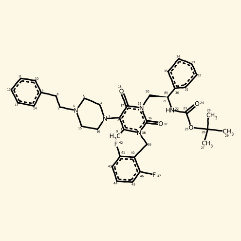 Cc1c(N2CCN(CCc3ccccc3)CC2)c(=O)n(C[C@H](NC(=O)OC(C)(C)C)c2ccccc2)c(=O)n1Cc1c(F)cccc1F